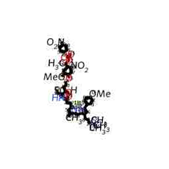 COc1ccc(-c2cc(CCC[N+](C)(C)C)c3n2[B-](F)(F)[N+]2=C(CCC(=O)NC(CS(=O)(=O)O)C(=O)CCCOc4cc([N+](=O)[O-])c(C(C)OC(=O)Oc5ccc([N+](=O)[O-])cc5)cc4OC)C=C(C)C2=C3)cc1